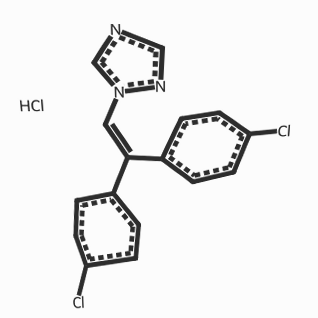 Cl.Clc1ccc(C(=Cn2cncn2)c2ccc(Cl)cc2)cc1